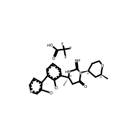 C[C@H]1C[C@@H](N2C(=N)N[C@](C)(c3cccc(-c4ccncc4Cl)c3Cl)CC2=O)CCO1.O=C(O)C(F)(F)F